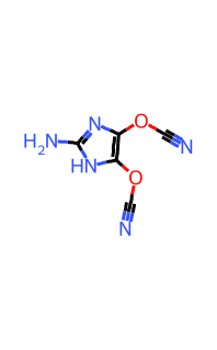 N#COc1nc(N)[nH]c1OC#N